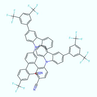 N#Cc1ccc(-n2c3ccccc3c3cc(-c4cc(C(F)(F)F)cc(C(F)(F)F)c4)ccc32)c(-c2cc(-n3c4ccccc4c4cc(-c5cc(C(F)(F)F)cc(C(F)(F)F)c5)ccc43)ccc2-c2ccc(C(F)(F)F)cc2C#N)c1